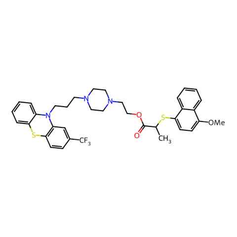 COc1ccc(SC(C)C(=O)OCCN2CCN(CCCN3c4ccccc4Sc4ccc(C(F)(F)F)cc43)CC2)c2ccccc12